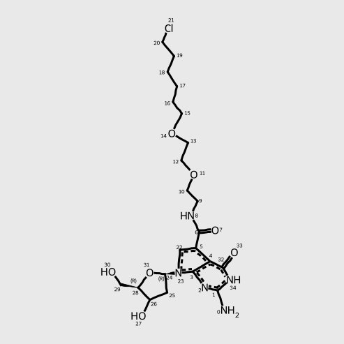 Nc1nc2c(c(C(=O)NCCOCCOCCCCCCCl)cn2[C@H]2CC(O)[C@@H](CO)O2)c(=O)[nH]1